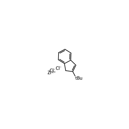 CC(C)(C)C1=Cc2ccccc2C1.[Cl-].[Cl-].[Zr+2]